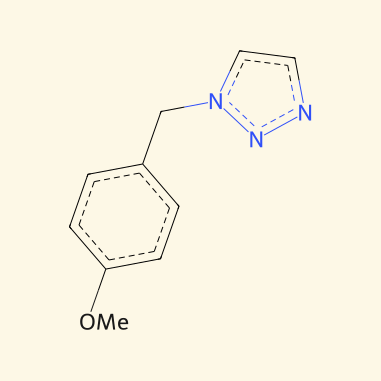 COc1ccc(Cn2ccnn2)cc1